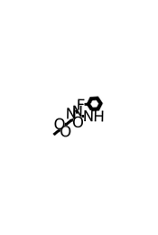 CC1OC(c2nnc(Nc3ccccc3F)o2)O1